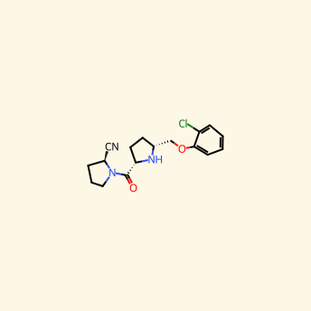 N#C[C@@H]1CCCN1C(=O)[C@@H]1CC[C@H](COc2ccccc2Cl)N1